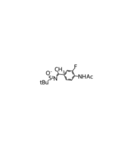 CC(=O)Nc1ccc(C(C)=N[S+]([O-])C(C)(C)C)cc1F